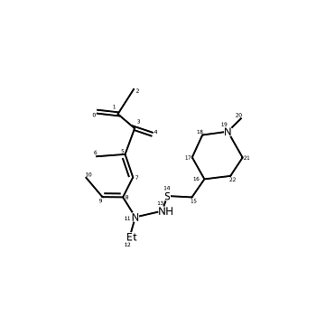 C=C(C)C(=C)/C(C)=C/C(=C\C)N(CC)NSCC1CCN(C)CC1